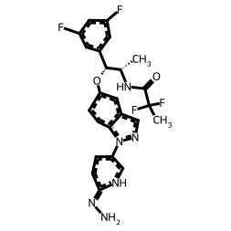 C[C@H](NC(=O)C(C)(F)F)[C@H](Oc1ccc2c(cnn2-c2cc/c(=N/N)[nH]c2)c1)c1cc(F)cc(F)c1